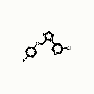 Fc1ccc(OCc2nccn2-c2cncc(Cl)c2)cc1